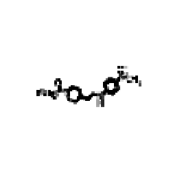 C[S+]([O-])c1ccc(NCCC2CCN(C(=O)OC(C)(C)C)CC2)cc1